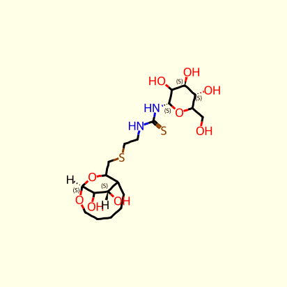 OCC1O[C@H](NC(=S)NCCSCC2O[C@@H]3OCCCCCC2[C@H](O)C3O)C(O)[C@@H](O)[C@@H]1O